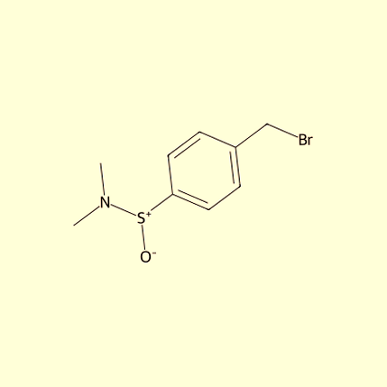 CN(C)[S+]([O-])c1ccc(CBr)cc1